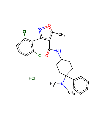 Cc1onc(-c2c(Cl)cccc2Cl)c1C(=O)NC1CCC(c2ccccc2)(N(C)C)CC1.Cl